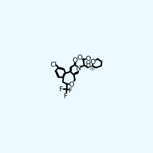 O=C(O)C(C[C@@H]1CCCCO1)n1cc2c(cc1=O)-c1cc(Cl)ccc1CC(C(F)(F)F)OC2